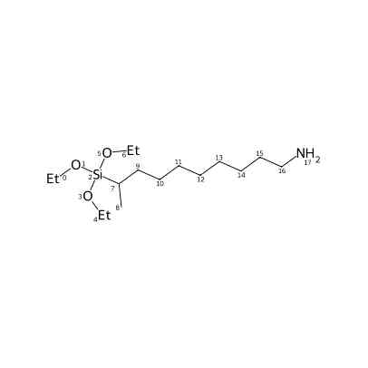 CCO[Si](OCC)(OCC)C(C)CCCCCCCCN